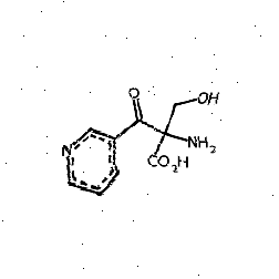 NC(CO)(C(=O)O)C(=O)c1cccnc1